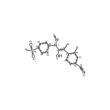 C=NN(/C(O)=C(\C)c1ccc(C#N)cc1C)c1ccc(S(C)(=O)=O)cn1